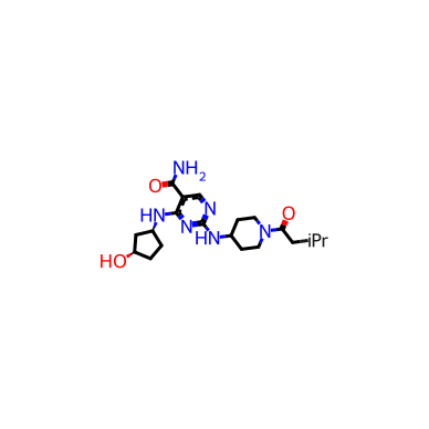 CC(C)CC(=O)N1CCC(Nc2ncc(C(N)=O)c(N[C@H]3CC[C@@H](O)C3)n2)CC1